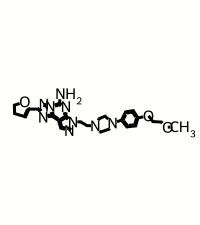 COCCOc1ccc(N2CCN(CCn3ncc4c3nc(N)n3nc(C5=CCCO5)nc43)CC2)cc1